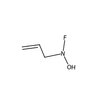 C=CCN(O)F